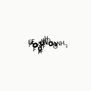 NC(=O)CN1CC[C@@H](CNc2ncnc(N3CC(F)(F)C[C@@H]3c3ccc(C(F)(F)F)cc3F)c2F)[C@H](O)C1